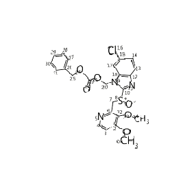 COc1ccnc(C[S+]([O-])c2nc3ccc(Cl)cc3n2COC(=O)OCc2ccccc2)c1OC